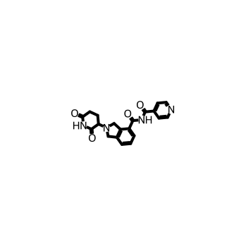 O=C1CCC(N2Cc3cccc(C(=O)NC(=O)c4ccncc4)c3C2)C(=O)N1